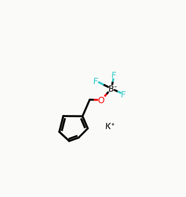 F[B-](F)(F)OCc1ccccc1.[K+]